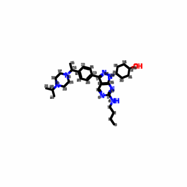 CCCCNc1ncc2c(-c3ccc(C(C)N4CCN(C(C)C)CC4)cc3)nn([C@H]3CC[C@H](O)CC3)c2n1